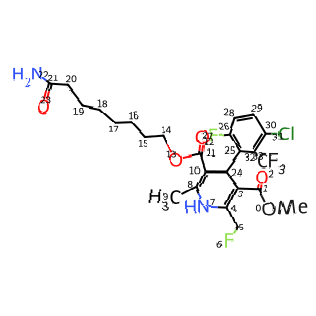 COC(=O)C1=C(CF)NC(C)=C(C(=O)OCCCCCCCC(N)=O)C1c1c(F)ccc(Cl)c1C(F)(F)F